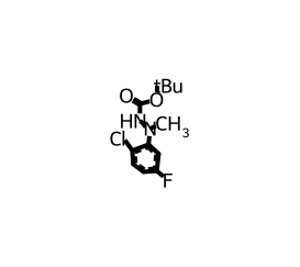 CN(NC(=O)OC(C)(C)C)c1cc(F)ccc1Cl